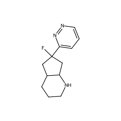 FC1(c2cccnn2)CC2CCCNC2C1